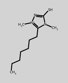 CCCCCCCc1n(C)c(S)n[n+]1C